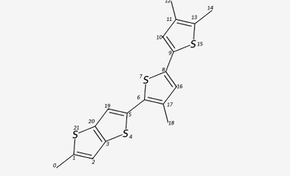 Cc1cc2sc(-c3sc(-c4cc(C)c(C)s4)cc3C)cc2s1